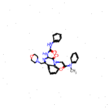 CN(C(=O)CN1C(=O)C(NC(=O)Nc2ccccc2)N=C(CN2CCOCC2)c2ccccc21)c1ccccc1